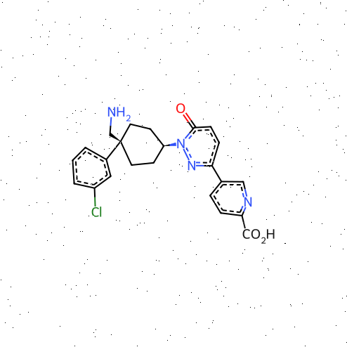 NC[C@]1(c2cccc(Cl)c2)CC[C@H](n2nc(-c3ccc(C(=O)O)nc3)ccc2=O)CC1